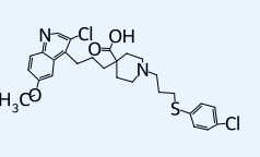 COc1ccc2ncc(Cl)c(CCCC3(C(=O)O)CCN(CCCSc4ccc(Cl)cc4)CC3)c2c1